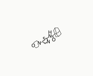 O=C(Nc1ncc(N2CCOCC2)s1)C12CC3CC(CC(C3)C1)C2